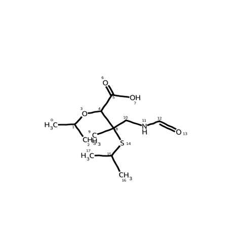 CC(C)OC(C(=O)O)C(C)(CNC=O)SC(C)C